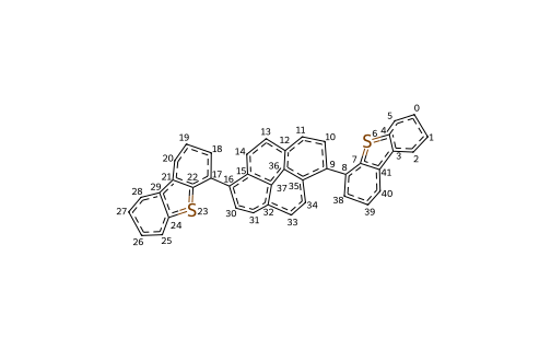 c1ccc2c(c1)sc1c(-c3ccc4ccc5c(-c6cccc7c6sc6ccccc67)ccc6ccc3c4c65)cccc12